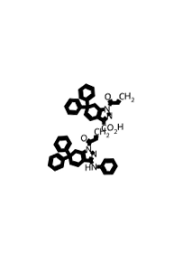 C=CC(=O)n1nc(C(=O)O)c2c1CC(c1ccccc1)(c1ccccc1)C=C2.C=CC(=O)n1nc(Nc2ccccc2)c2c1CC(c1ccccc1)(c1ccccc1)C=C2